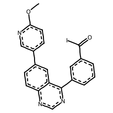 COc1ccc(-c2ccc3ncnc(-c4cccc(C(=O)I)c4)c3c2)cn1